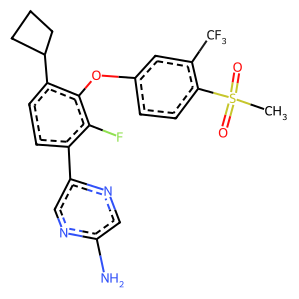 CS(=O)(=O)c1ccc(Oc2c(C3CCC3)ccc(-c3cnc(N)cn3)c2F)cc1C(F)(F)F